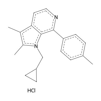 Cc1ccc(-c2nccc3c(C)c(C)n(CC4CC4)c23)cc1.Cl